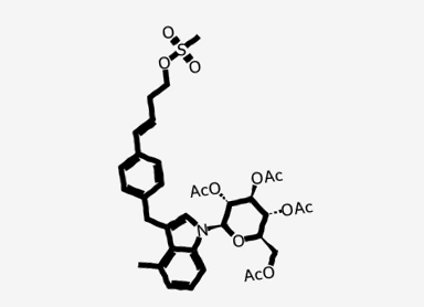 CC(=O)OC[C@H]1O[C@@H](n2cc(Cc3ccc(C=CCCOS(C)(=O)=O)cc3)c3c(C)cccc32)[C@H](OC(C)=O)[C@@H](OC(C)=O)[C@@H]1OC(C)=O